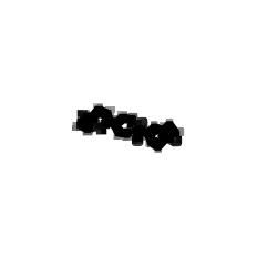 O=S(=O)(c1ccc2c(c1)CCO2)N1CCC(c2ccc3nccn3n2)CC1